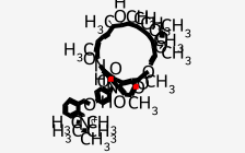 CO[C@H]1/C=C/O[C@@]2(C)Oc3c(C)c(O)c4c(=O)c(c5oc6cc(OCc7ccccc7C[N+](C)(C)C(C)(C)C)ccc6nc-5c4c3C2=O)NC(=O)/C(C)=C\C=C\[C@H](C)[C@H](O)[C@@H](C)[C@@H](C)[C@@H](C)[C@H](OC(C)=O)[C@@H]1C